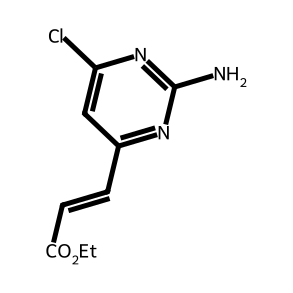 CCOC(=O)/C=C/c1cc(Cl)nc(N)n1